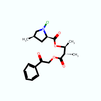 C[C@@H]1C[C@H](C(=O)O[C@@H](C)[C@H](C)C(=O)OCC(=O)c2ccccc2)N(Cl)C1